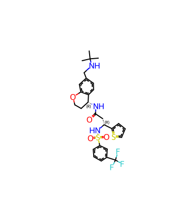 CC(C)(C)NCc1ccc2c(c1)OCC[C@H]2NC(=O)C[C@@H](NS(=O)(=O)c1cccc(C(F)(F)F)c1)c1cccs1